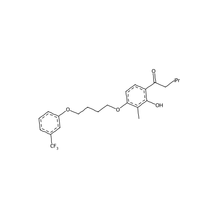 Cc1c(OCCCCOc2cccc(C(F)(F)F)c2)ccc(C(=O)CC(C)C)c1O